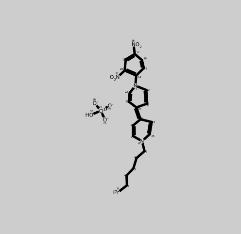 CC(C)CCCCCN1C=CC(=C2C=CN(c3ccc([N+](=O)[O-])cc3[N+](=O)[O-])C=C2)C=C1.[O-][Cl+3]([O-])([O-])O